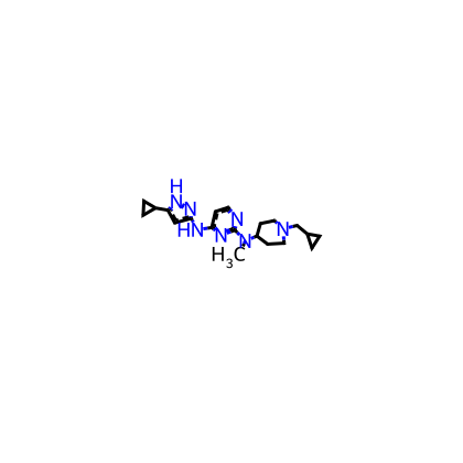 CN(c1nccc(Nc2cc(C3CC3)[nH]n2)n1)C1CCN(CC2CC2)CC1